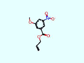 C=CCOC(=O)c1cc(OC)cc([N+](=O)[O-])c1